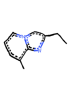 CCc1cn2cccc(C)c2n1